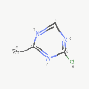 CC(C)c1ncnc(Cl)n1